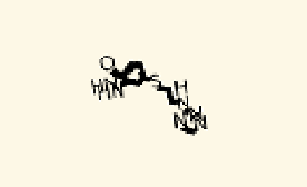 O=c1[nH][nH]c2cc(SCCCNc3nccnn3)ccc12